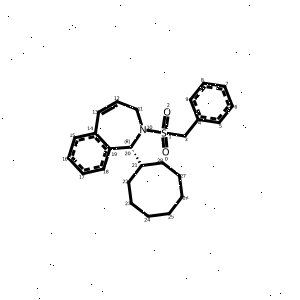 O=S(=O)(Cc1ccccc1)N1CC=Cc2ccccc2[C@H]1C1CCCCCCC1